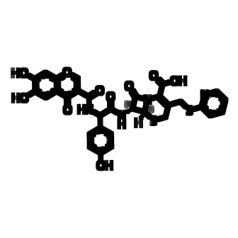 O=C(O)C1=C(CSc2ccccn2)CS[C@H]2[C@H](NC(=O)C(NC(=O)c3coc4cc(O)c(O)cc4c3=O)c3ccc(O)cc3)C(=O)N12